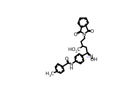 Cc1ccc(C(=O)Nc2ccc(/C(CC(CCN3C(=O)c4ccccc4C3=O)C(=O)O)=N\O)cc2)cc1